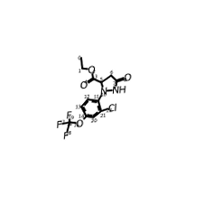 CCOC(=O)C1CC(=O)NN1c1ccc(OC(F)(F)F)cc1Cl